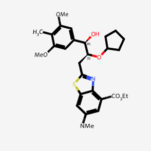 CCOC(=O)c1cc(NC)cc2sc(C[C@H](OC3CCCC3)[C@H](O)c3cc(OC)c(C)c(OC)c3)nc12